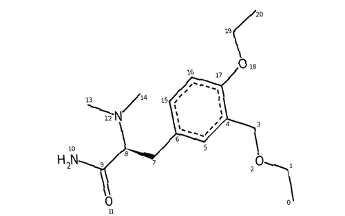 CCOCc1cc(C[C@@H](C(N)=O)N(C)C)ccc1OCC